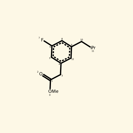 COC(=O)Cc1cc(F)cc(CC(C)C)c1